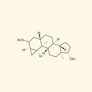 CC(=O)OC1C[C@@H]2CC[C@H]3[C@@H]4CC[C@H](O)[C@@]4(C)CC[C@@H]3[C@@]2(C)[C@H]2C[C@@H]12